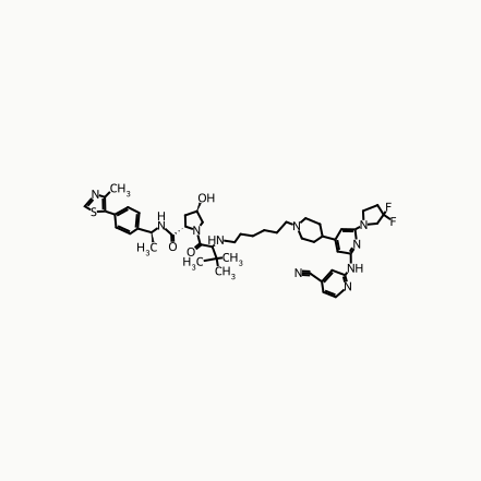 Cc1ncsc1-c1ccc([C@H](C)NC(=O)[C@@H]2C[C@@H](O)CN2C(=O)[C@@H](NCCCCCCN2CCC(c3cc(Nc4cc(C#N)ccn4)nc(N4CCC(F)(F)C4)c3)CC2)C(C)(C)C)cc1